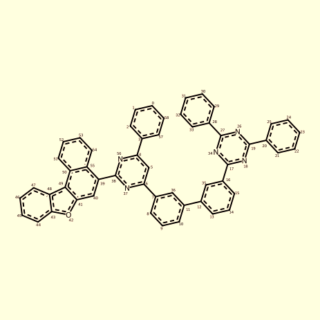 c1ccc(-c2cc(-c3cccc(-c4cccc(-c5nc(-c6ccccc6)nc(-c6ccccc6)n5)c4)c3)nc(-c3cc4oc5ccccc5c4c4ccccc34)n2)cc1